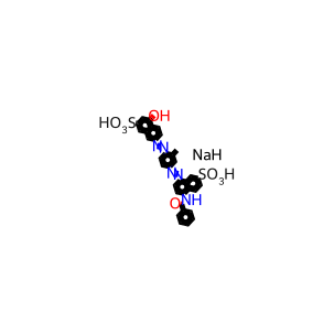 Cc1cc(N=Nc2ccc(NC(=O)c3ccccc3)c3ccc(S(=O)(=O)O)cc23)ccc1N=Nc1ccc2c(O)cc(S(=O)(=O)O)cc2c1.[NaH]